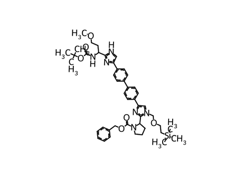 COCCC(NC(=O)OC(C)(C)C)c1nc(-c2ccc(-c3ccc(-c4cn(COCC[Si](C)(C)C)c(C5CCCN5C(=O)OCc5ccccc5)n4)cc3)cc2)c[nH]1